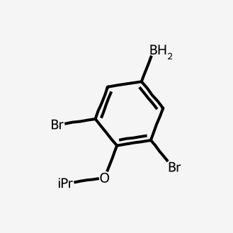 Bc1cc(Br)c(OC(C)C)c(Br)c1